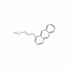 O=C(O)CCCc1cccc2cc3ccccc3cc12